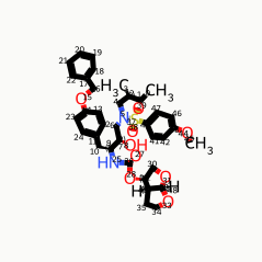 CC[C@H](C)CN(C[C@@H](O)[C@H](Cc1ccc(OCc2ccccc2)cc1)NC(=O)O[C@H]1CO[C@H]2OCC[C@H]21)S(=O)(=O)c1ccc(OC)cc1